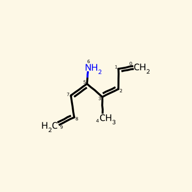 C=C/C=C(C)\C(N)=C/C=C